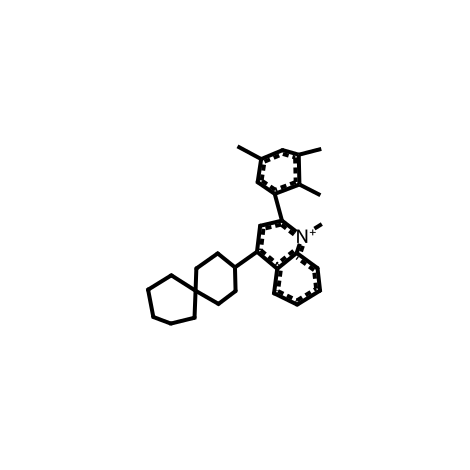 Cc1cc(C)c(C)c(-c2cc(C3CCC4(CCCCC4)CC3)c3ccccc3[n+]2C)c1